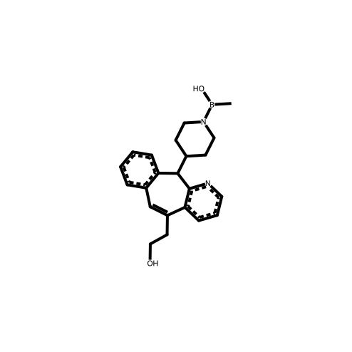 CB(O)N1CCC(C2c3ccccc3C=C(CCO)c3cccnc32)CC1